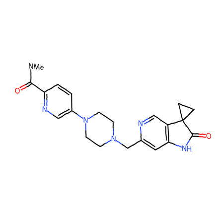 CNC(=O)c1ccc(N2CCN(Cc3cc4c(cn3)C3(CC3)C(=O)N4)CC2)cn1